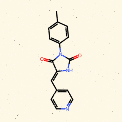 Cc1ccc(N2C(=O)N/C(=C\c3ccncc3)C2=O)cc1